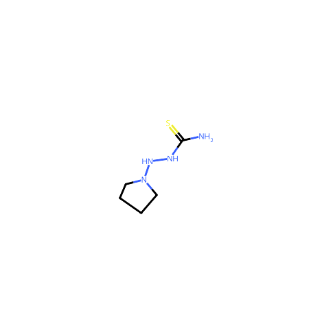 NC(=S)NNN1CCCC1